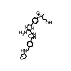 CC(CCO)[S+]([O-])c1ccc(-c2cnc(N)c(-c3nnc(-c4ccc(CNC5CCOC5)cc4)o3)n2)cc1